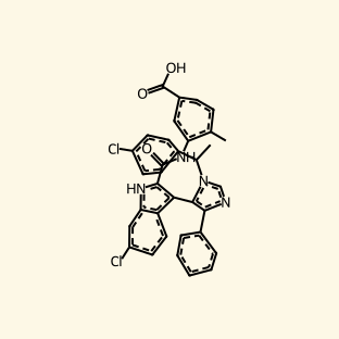 Cc1ccc(C(=O)O)cc1NC(=O)c1[nH]c2cc(Cl)ccc2c1-c1c(-c2ccccc2)ncn1C(C)c1ccc(Cl)cc1